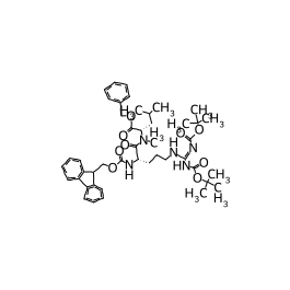 CC(C)C[C@@H](C(=O)OCc1ccccc1)N(C)C(=O)[C@H](CCCN/C(=N\C(=O)OC(C)(C)C)NC(=O)OC(C)(C)C)NC(=O)OCC1c2ccccc2-c2ccccc21